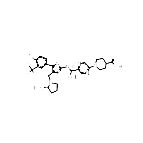 COc1ccc(-c2nc(NC(O)c3cnc(N4CCC(C(=O)O)CC4)cn3)sc2CN2CCC[C@H]2C)cc1C(F)(F)F